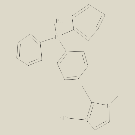 CCCC[B-](c1ccccc1)(c1ccccc1)c1ccccc1.CCC[n+]1ccn(C)c1C